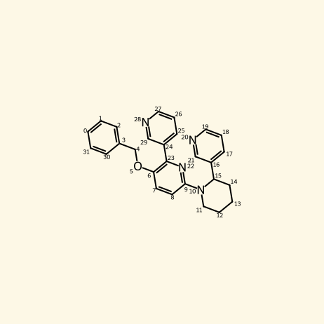 c1ccc(COc2ccc(N3CCCCC3c3cccnc3)nc2-c2cccnc2)cc1